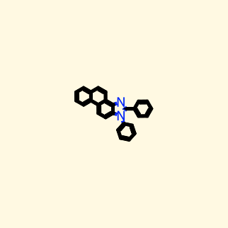 c1ccc(-c2nc3c4ccc5ccccc5c4ccc3n2-c2ccccc2)cc1